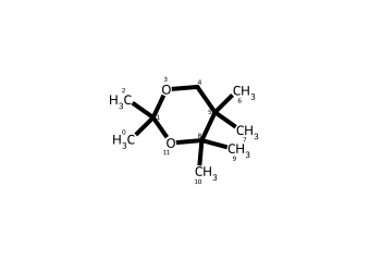 CC1(C)OCC(C)(C)C(C)(C)O1